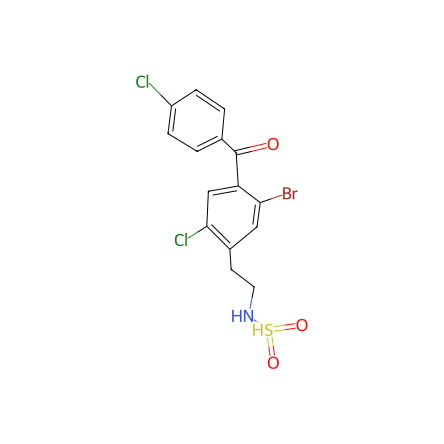 O=C(c1ccc(Cl)cc1)c1cc(Cl)c(CCN[SH](=O)=O)cc1Br